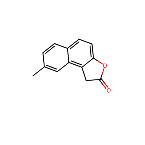 Cc1ccc2ccc3c(c2c1)CC(=O)O3